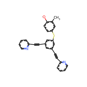 Cc1cc(Sc2cc(C#Cc3ccccn3)cc(C#Cc3ccccn3)c2)ccc1[O]